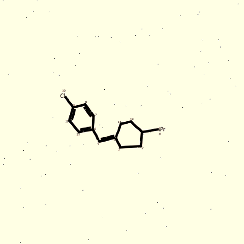 CC(C)C1CCC(=Cc2ccc(Cl)cc2)CC1